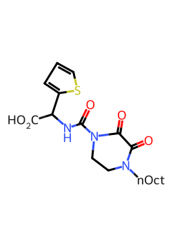 CCCCCCCCN1CCN(C(=O)NC(C(=O)O)c2cccs2)C(=O)C1=O